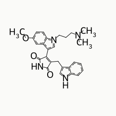 COc1ccc2c(c1)c(C1=C(Cc3c[nH]c4ccccc34)C(=O)NC1=O)cn2CCCN(C)C